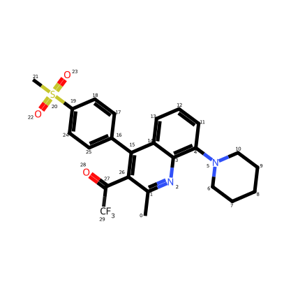 Cc1nc2c(N3CCCCC3)cccc2c(-c2ccc(S(C)(=O)=O)cc2)c1C(=O)C(F)(F)F